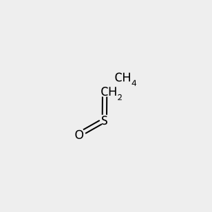 C.C=S=O